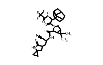 CC1(C)C2CN(C(=O)C(NC(=O)C(F)(F)F)C34CC5CC(CC(C5)C3)C4)C(C(=O)NC(C#N)CC3CC4(CC4)NC3=O)C21